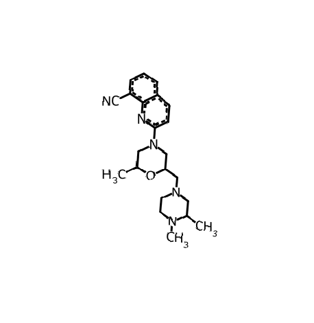 CC1CN(c2ccc3cccc(C#N)c3n2)CC(CN2CCN(C)C(C)C2)O1